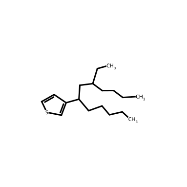 CCCCCC(CC(CC)CCCC)c1ccsc1